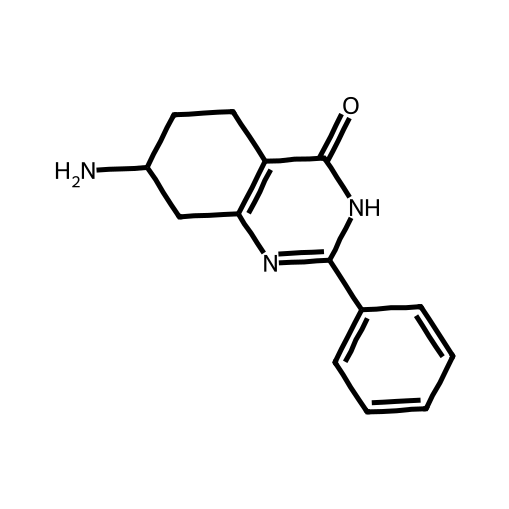 NC1CCc2c(nc(-c3ccccc3)[nH]c2=O)C1